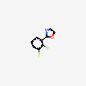 Fc1cccc(-c2ncco2)c1F